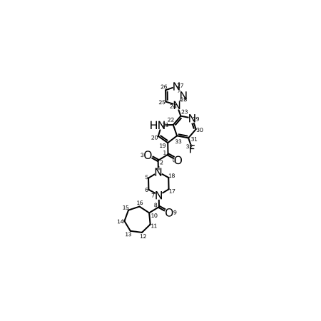 O=C(C(=O)N1CCN(C(=O)C2CCCCCC2)CC1)c1c[nH]c2c(-n3ccnn3)ncc(F)c12